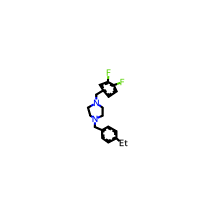 CCc1ccc(CN2CCN(Cc3ccc(F)c(F)c3)CC2)cc1